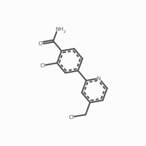 NC(=O)c1ccc(-c2cc(CCl)ccn2)cc1Cl